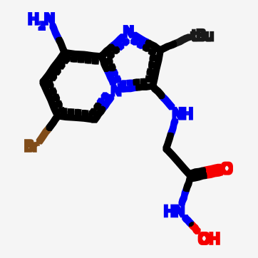 CC(C)(C)c1nc2c(N)cc(Br)cn2c1NCC(=O)NO